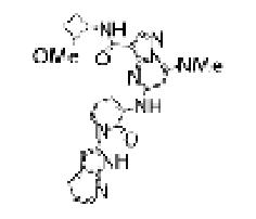 CNc1cc(Nc2cccn(-c3cc4cccnc4[nH]3)c2=O)nc2c(C(=O)N[C@@H]3CC[C@H]3OC)cnn12